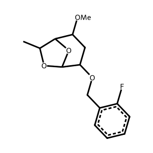 COC1CC(OCc2ccccc2F)C2OC(C)C1O2